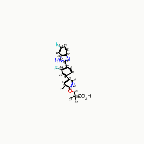 Cc1cc(-c2ccc(-c3nc4ccc(F)cc4[nH]3)c(F)c2)cnc1OCC(C)(C)C(=O)O